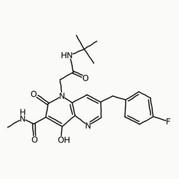 CNC(=O)c1c(O)c2ncc(Cc3ccc(F)cc3)cc2n(CC(=O)NC(C)(C)C)c1=O